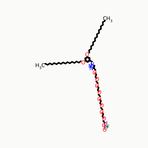 CCCCCCCCCCCCCCCCCCOc1cc(Cn2cc(COCCOCCOCCOCCOCCOCCOCCOCCO[PH](=O)F)nn2)cc(OCCCCCCCCCCCCCCCCCC)c1